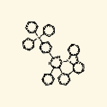 c1ccc(-c2nc(-c3ccc([Si](c4ccccc4)(c4ccccc4)c4ccccc4)cc3)nc3c2-c2ccccc2-c2cccc4c5ccccc5n-3c24)cc1